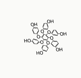 Oc1ccc(Oc2c(Oc3ccc(O)cc3)c(Oc3ccc(O)cc3)c(Oc3ccc(O)cc3)c(Oc3ccc(O)cc3)c2Oc2ccc(O)cc2)cc1